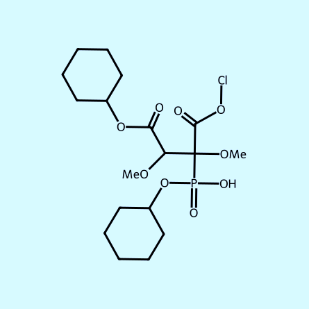 COC(C(=O)OC1CCCCC1)C(OC)(C(=O)OCl)P(=O)(O)OC1CCCCC1